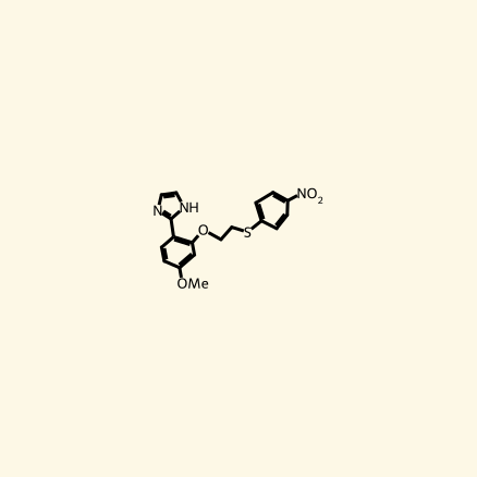 COc1ccc(-c2ncc[nH]2)c(OCCSc2ccc([N+](=O)[O-])cc2)c1